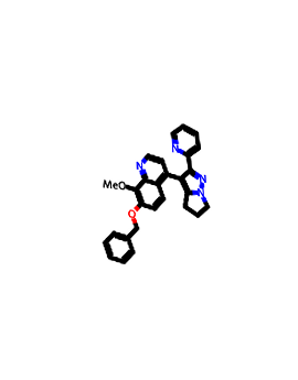 COc1c(OCc2ccccc2)ccc2c(-c3c(-c4ccccn4)nn4c3CCC4)ccnc12